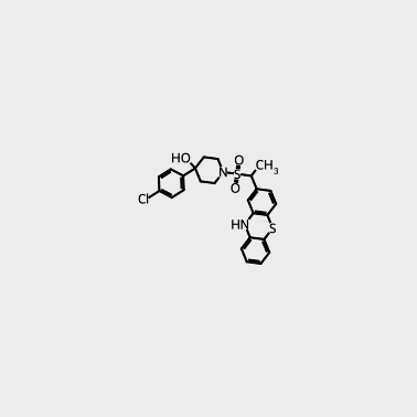 CC(c1ccc2c(c1)Nc1ccccc1S2)S(=O)(=O)N1CCC(O)(c2ccc(Cl)cc2)CC1